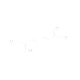 COC(C=CC=CC(OC)OC)OC